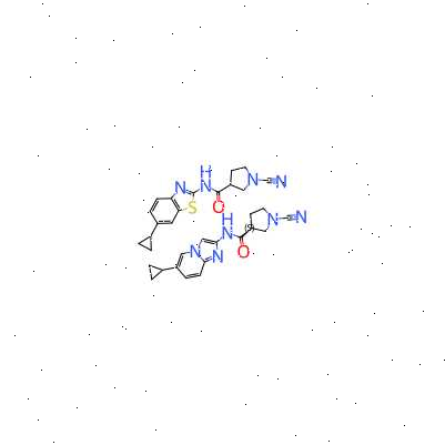 N#CN1CCC(C(=O)Nc2nc3ccc(C4CC4)cc3s2)C1.N#CN1CC[C@H](C(=O)Nc2cn3cc(C4CC4)ccc3n2)C1